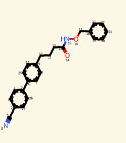 N#Cc1ccc(-c2ccc(CCCC(=O)NOCc3ccccc3)cc2)cc1